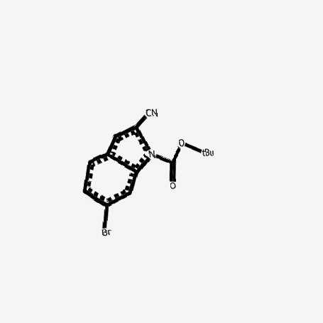 CC(C)(C)OC(=O)n1c(C#N)cc2ccc(Br)cc21